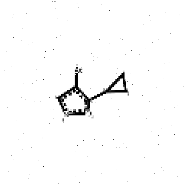 CC(=O)c1cnoc1C1CC1